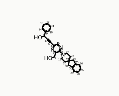 OCc1nc(C#CC(O)c2ccccc2)cnc1N1CCC2(CC1)Cc1ccccc1C2